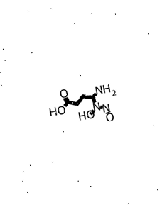 NC(CCC(=O)O)N(O)N=O